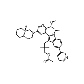 CCn1c(-c2cc(N3CCN4CCCC[C@@H]4C3)cnc2[C@H](C)OC)c(CC(C)(C)COC(C)=O)c2cc(C3=CCC=NC3)ccc21